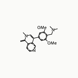 C=C1c2ccncc2C(c2cc(OC)c(CN(C)C)c(OC)c2)=CN1C